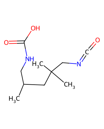 CC(CNC(=O)O)CC(C)(C)CN=C=O